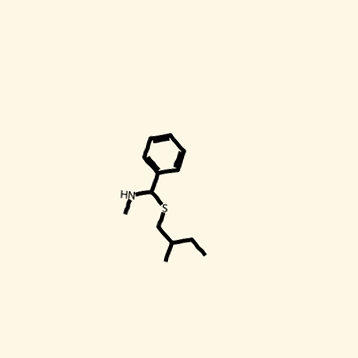 CCC(C)CSC(NC)c1ccccc1